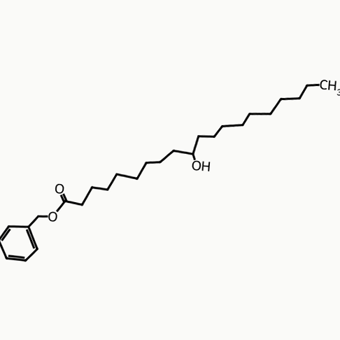 CCCCCCCCCCC(O)CCCCCCCCC(=O)OCc1ccccc1